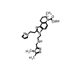 COC(=O)N1c2ccc3c(nc(CCn4cccn4)n3CCNCc3nnc(C)n3C)c2CC[C@@H]1C